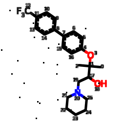 CC(C)(Oc1ccc(-c2ccc(C(F)(F)F)cc2)cc1)C(O)CN1CCCCC1